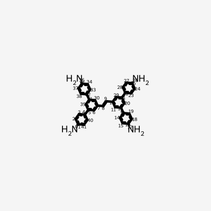 Nc1ccc(-c2cc(/C=C/c3cc(-c4ccc(N)cc4)cc(-c4ccc(N)cc4)c3)cc(-c3ccc(N)cc3)c2)cc1